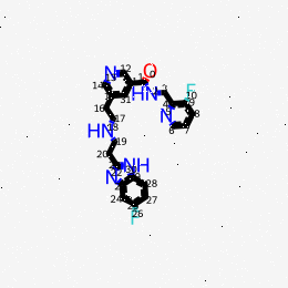 O=C(NCc1ncccc1F)c1cncc(CCNCCc2nc3cc(F)ccc3[nH]2)c1